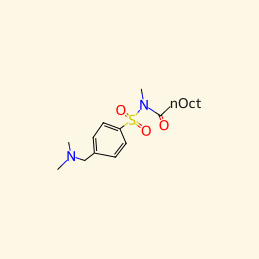 CCCCCCCCC(=O)N(C)S(=O)(=O)c1ccc(CN(C)C)cc1